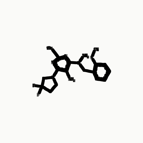 CC(C)(C)c1nc(N(N)Cc2ccccc2SC#N)c(N)c(N2CCC(F)(F)C2)n1